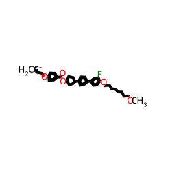 [CH2+][CH-]CCOc1ccc(C(=O)OC2CCC(c3ccc(-c4ccc(OCCCCCCCCOC)c(F)c4)cc3)CC2)cc1